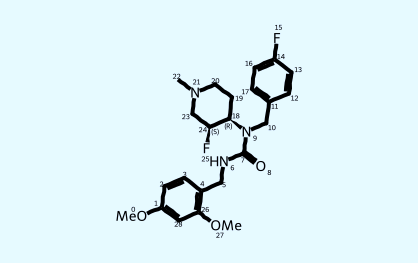 COc1ccc(CNC(=O)N(Cc2ccc(F)cc2)[C@@H]2CCN(C)C[C@@H]2F)c(OC)c1